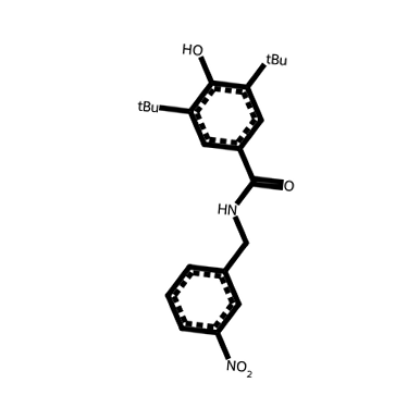 CC(C)(C)c1cc(C(=O)NCc2cccc([N+](=O)[O-])c2)cc(C(C)(C)C)c1O